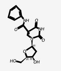 O=C(Nc1ccccc1)c1cn([C@H]2C[C@@H](O)[C@@H](CO)O2)c(=O)[nH]c1=O